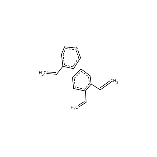 C=Cc1ccccc1C=C.C=Cc1ccncc1